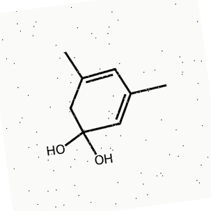 CC1=CC(O)(O)CC(C)=C1